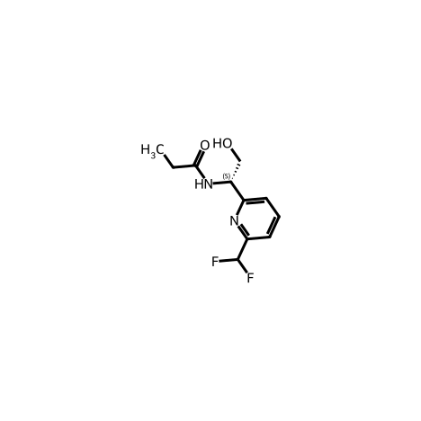 CCC(=O)N[C@H](CO)c1cccc(C(F)F)n1